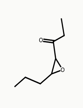 CCCC1OC1C(=O)CC